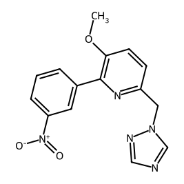 COc1ccc(Cn2cncn2)nc1-c1cccc([N+](=O)[O-])c1